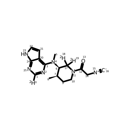 [2H]c1nc(N(C)[C@@H]2[C@H](C)CCN(C(=O)C[N+]#[C-])C2([2H])[2H])c2cc[nH]c2n1